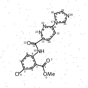 COC(=O)c1cc(Cl)ccc1NC(=O)c1ccc(-n2ccnc2)nn1